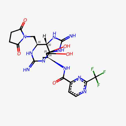 N=C1N[C@H]2[C@H](CN3C(=O)CCC3=O)NC(=N)N3C[C@H](NC(=O)c4ccnc(C(F)(F)F)n4)C(O)(O)[C@]23N1